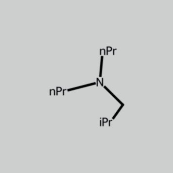 CCCN(CCC)CC(C)C